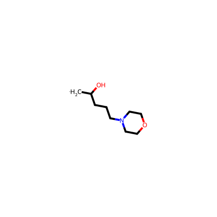 [CH2]C(O)CCCN1CCOCC1